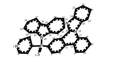 S=P(c1ccncc1)(c1ccc2c3ccccc3n3c4ccccc4nc3c2c1)n1c2ccccc2c2ccccc21